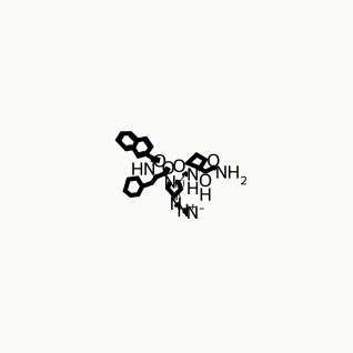 [N-]=[N+]=N[C@H]1C[C@@H](C(=O)NC2(C(O)C(N)=O)CCC2)N(C(=O)C(CC2CCCCC2)NC(=O)c2ccc3ccccc3c2)C1